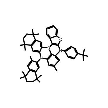 Cc1cc2c3c(c1)N(c1ccc(C(C)(C)C)cc1)c1oc4ccccc4c1B3c1cc3c(cc1N2c1cc2c(cc1C)C(C)(C)CCC2(C)C)C(C)(C)CCC3(C)C